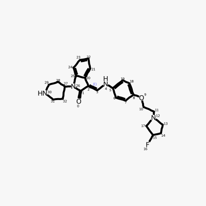 O=C1/C(=C/Nc2ccc(OCCN3CCC(F)C3)cc2)c2ccccc2N1C1CCNCC1